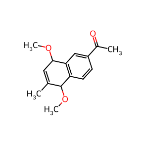 COC1C=C(C)C(OC)c2ccc(C(C)=O)cc21